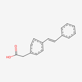 O=C(O)Cc1ccc(C=Cc2ccccc2)cc1